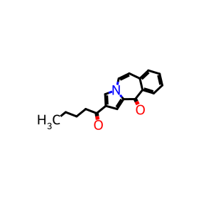 CCCCC(=O)c1cc2c(=O)c3ccccc3ccn2c1